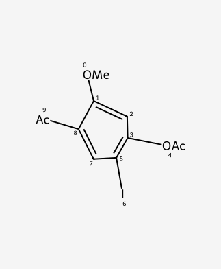 COc1cc(OC(C)=O)c(I)cc1C(C)=O